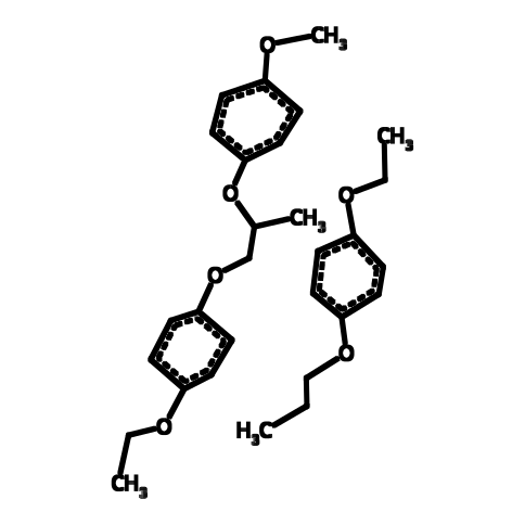 CCCOc1ccc(OCC)cc1.CCOc1ccc(OCC(C)Oc2ccc(OC)cc2)cc1